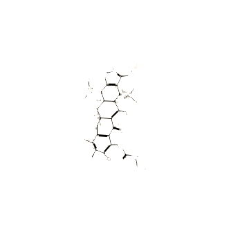 CCCCOc1noc2c1C(=O)[C@@]1(O[Si](C)(C)C(C)(C)C)C(O)=C3C(=O)c4c(OC(=O)OC(C)(C)C)c(Br)c(Br)c(F)c4[C@H](C)[C@H]3C[C@H]1[C@@H]2N(C)C